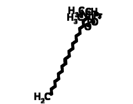 C=CCCCCCCCC=CCCCCCCCCCCC(CCC)(P(=O)=O)[N+](C)(C)C